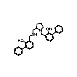 Oc1c(CNCC2CCCN2Cc2cccc(-c3ccccc3)c2O)cccc1-c1ccccc1